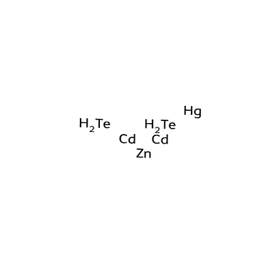 [Cd].[Cd].[Hg].[TeH2].[TeH2].[Zn]